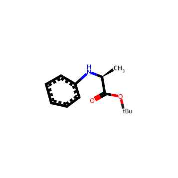 C[C@H](Nc1ccccc1)C(=O)OC(C)(C)C